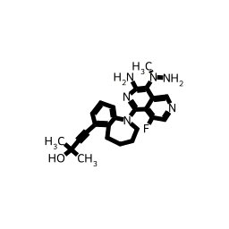 CN(N)c1c(N)nc(N2CCCCc3c(C#CC(C)(C)O)cccc32)c2c(F)cncc12